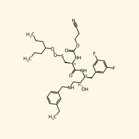 CCCC(CCC)OOSC[C@@H](NC(=O)OCCC#N)C(=O)N[C@@H](Cc1cc(F)cc(F)c1)[C@H](O)CNCc1cccc(CC)c1